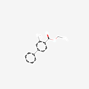 CCOC(=O)c1ccc(-c2ccccc2)cc1C